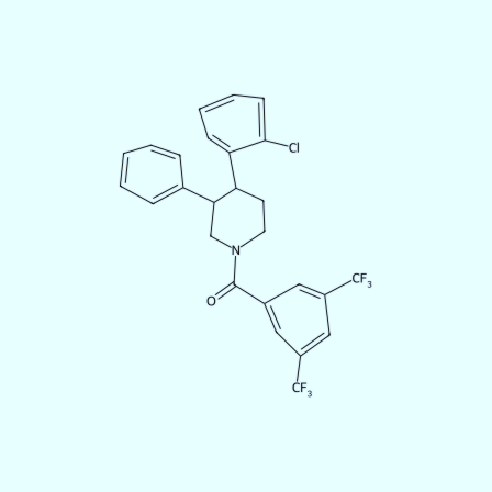 O=C(c1cc(C(F)(F)F)cc(C(F)(F)F)c1)N1CCC(c2ccccc2Cl)C(c2ccccc2)C1